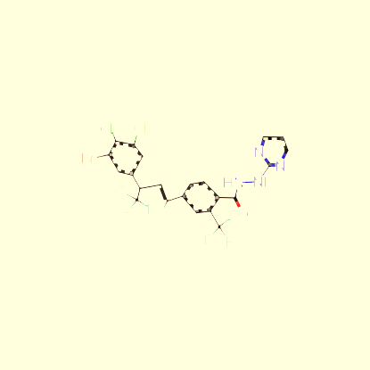 O=C(NNc1ncccn1)c1ccc(C(F)=CC(c2cc(Cl)c(Cl)c(Br)c2)C(F)(F)F)cc1C(F)(F)F